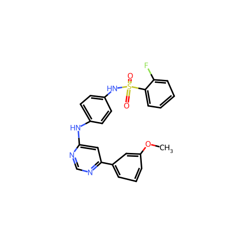 COc1cccc(-c2cc(Nc3ccc(NS(=O)(=O)c4ccccc4F)cc3)ncn2)c1